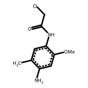 COc1cc(N)c(C)cc1NC(=O)CCl